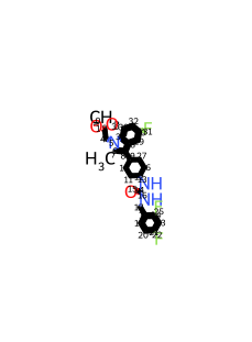 COC(=O)Cn1c(C)c(C2CCC(NC(=O)NCc3ccc(F)cc3F)CC2)c2cc(F)ccc21